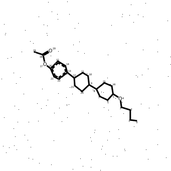 CCCCOC1CCC(C2CCC(c3ccc(OC(C)=O)cc3)CC2)CC1